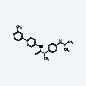 Cc1cc(-c2ccc(NC(=O)C(C)c3ccc(NC(C)C)cc3)cc2)ccn1